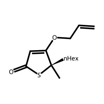 C=CCOC1=CC(=O)S[C@]1(C)CCCCCC